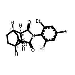 CCc1cc(Br)cc(CC)c1N1C(=O)[C@@H]2[C@H]3CC[C@H](C(=O)C3)[C@@H]2C1=O